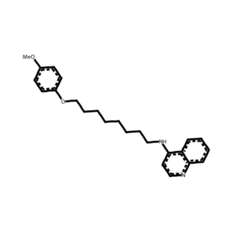 COc1ccc(OCCCCCCCCNc2ccnc3ccccc23)cc1